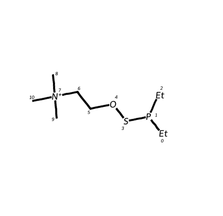 CCP(CC)SOCC[N+](C)(C)C